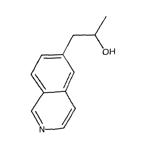 CC(O)Cc1ccc2cnccc2c1